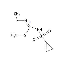 CC/N=C(/NS(=O)(=O)C1CC1)SC